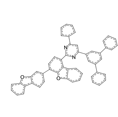 c1ccc(-c2cc(-c3ccccc3)cc(-c3cc(-c4ccccc4)nc(-c4ccc(-c5ccc6c(c5)oc5ccccc56)c5oc6ccccc6c45)n3)c2)cc1